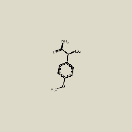 CC(C)(C)C(C(N)=O)c1ccc(OC(F)(F)F)cc1